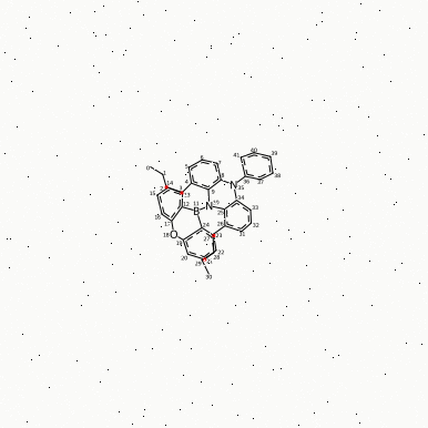 CCCCc1cccc2c1N(B1c3ccccc3Oc3ccccc31)c1c(CCCC)cccc1N2c1ccccc1